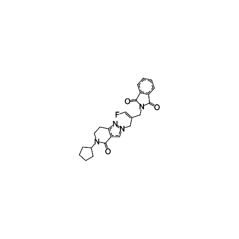 O=C1c2ccccc2C(=O)N1CC(=CF)Cn1cc2c(n1)CCN(C1CCCC1)C2=O